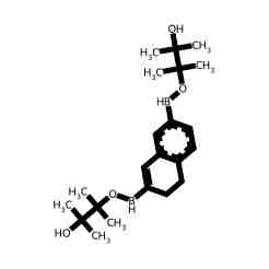 CC(C)(O)C(C)(C)OBC1=Cc2cc(BOC(C)(C)C(C)(C)O)ccc2CC1